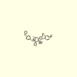 Cc1cc(OCc2ccc(F)cc2F)c(Br)c(=O)n1Cc1ccc(C=O)cc1